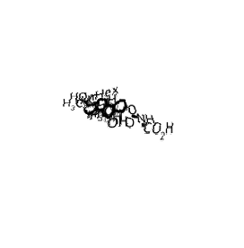 CCCCCC[C@](C)(O)[C@H]1CC[C@H]2[C@@H]3C[C@H](O)[C@H]4C[C@@H](OC(=O)NCC(=O)O)CC[C@]4(C)[C@H]3CC[C@@]21C